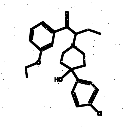 CCOc1cccc(C(=O)C(CC)N2CCC(O)(c3ccc(Cl)cc3)CC2)c1